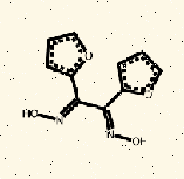 O/N=C(/C(=N/O)c1ccco1)c1ccco1